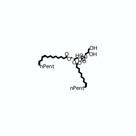 CCCCC/C=C\C/C=C\CCCCCCCC(=O)OC[C@H](COP(=O)(O)OC[C@@H](O)CO)OC(=O)CCCCCCC/C=C\CCCCC